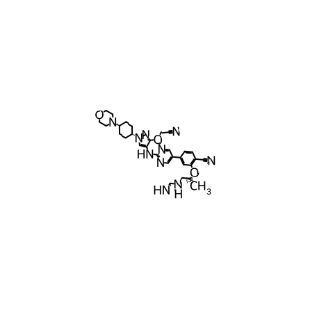 C[C@@H](CNC=N)Oc1cc(-c2cnc(Nc3cn([C@H]4CC[C@H](N5CCOCC5)CC4)nc3OCC#N)nc2)ccc1C#N